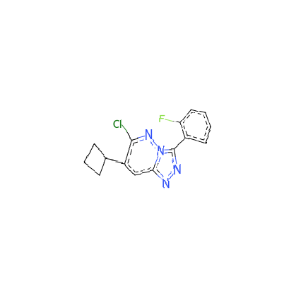 Fc1ccccc1-c1nnc2cc(C3CCC3)c(Cl)nn12